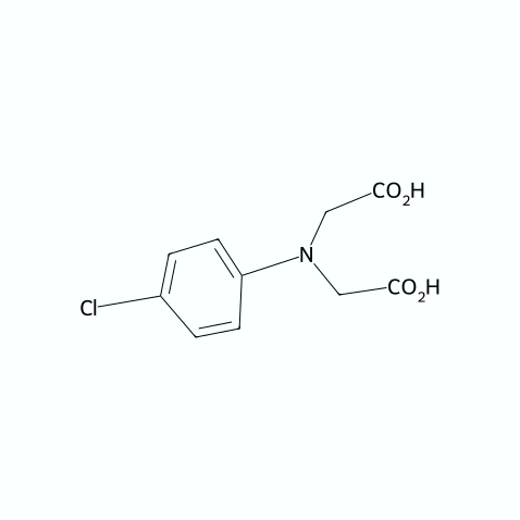 O=C(O)CN(CC(=O)O)c1ccc(Cl)cc1